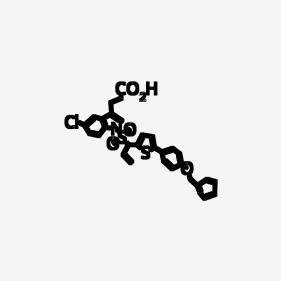 C=CC(c1ccc(-c2ccc(OCc3ccccc3)cc2)s1)S(=O)(=O)n1cc(CCC(=O)O)c2cc(Cl)ccc21